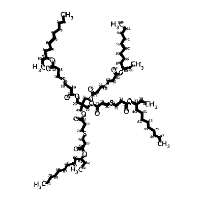 CCCCCCCCCC(CC)OC(=O)CCSCCC(=O)OCC(COC(=O)CCSCCC(=O)OC(CC)CCCCCCCCC)(COC(=O)CCSCCC(=O)OC(CC)CCCCCCCCC)COC(=O)CCSCCC(=O)OC(CC)CCCCCCCCC